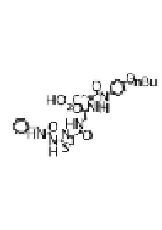 CCCCOc1ccc(NC(=O)[C@H](CC(=O)O)NC(=O)CNC(=O)c2csc(NC(=O)NCc3ccccc3)n2)cc1